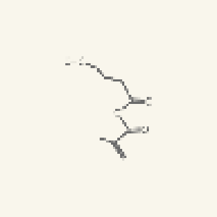 C=C(C)C(=O)OC(=O)CCCC=O